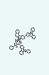 c1ccc(-c2cc3nc(-n4c5ccc(-c6ccc7c(c6)c6ccccc6n7-c6ccccc6)cc5c5c6ccccc6ccc54)nc(-c4ccc5c(c4)c4ccccc4n5-c4ccccc4)c3s2)cc1